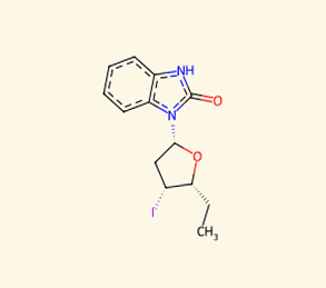 CC[C@H]1O[C@@H](n2c(=O)[nH]c3ccccc32)C[C@H]1I